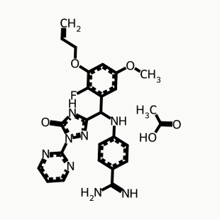 C=CCOc1cc(OC)cc(C(Nc2ccc(C(=N)N)cc2)c2nn(-c3ncccn3)c(=O)[nH]2)c1F.CC(=O)O